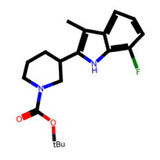 Cc1c(C2CCCN(C(=O)OC(C)(C)C)C2)[nH]c2c(F)cccc12